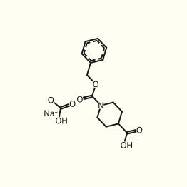 O=C(O)C1CCN(C(=O)OCc2ccccc2)CC1.O=C([O-])O.[Na+]